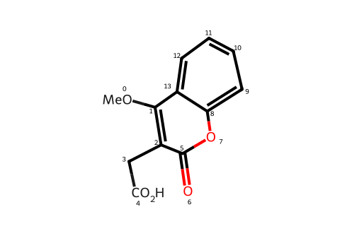 COc1c(CC(=O)O)c(=O)oc2ccccc12